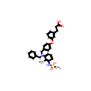 Cc1c(NS(C)(=O)=O)cccc1N(Cc1ccccc1)Cc1ccc(Oc2cccc(CCC(=O)O)c2)cc1